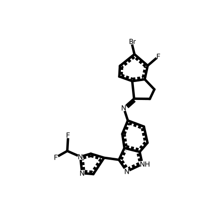 Fc1c(Br)ccc2c1CCC2=Nc1ccc2[nH]nc(-c3cnn(C(F)F)c3)c2c1